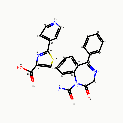 NC(=O)N1C(=O)[CH]N=C(c2ccccc2)c2ccccc21.O=C(O)c1csc(-c2ccncc2)n1